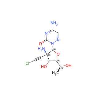 C[C@H](O)[C@H]1O[C@@H](n2ncc(N)nc2=O)[C@@](N)(C#CCl)C1O